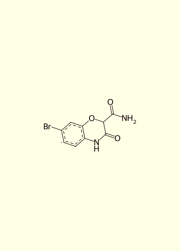 NC(=O)C1Oc2cc(Br)[c]cc2NC1=O